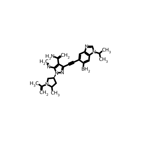 Bc1cc2c(cc1C#Cc1nn([C@H]3CC(C)N(C(=C)C)C3)c(N=C)c1C(=C)N)ncn2C(C)C